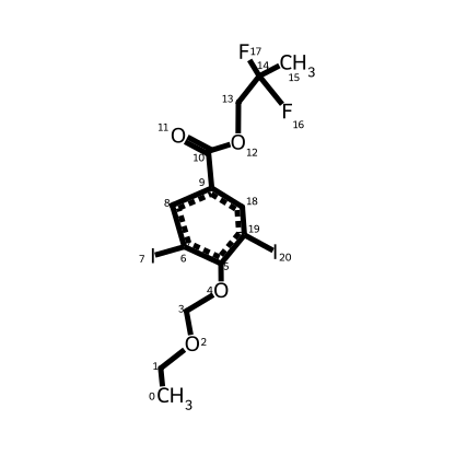 CCOCOc1c(I)cc(C(=O)OCC(C)(F)F)cc1I